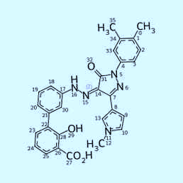 Cc1ccc(N2N=C(c3ccn(C)c3)/C(=N/Nc3cccc(-c4cccc(C(=O)O)c4O)c3)C2=O)cc1C